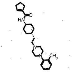 Cc1ccccc1N1CCN(CC[C@H]2CC[C@H](NC(=O)C3=CCCC3)CC2)CC1